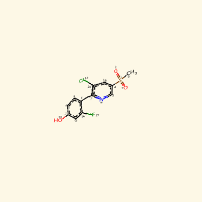 CS(=O)(=O)c1cnc(-c2ccc(O)cc2F)c(Cl)c1